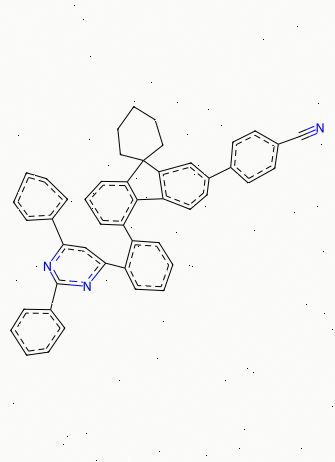 N#Cc1ccc(-c2ccc3c(c2)C2(CCCCC2)c2cccc(-c4ccccc4-c4cc(-c5ccccc5)nc(-c5ccccc5)n4)c2-3)cc1